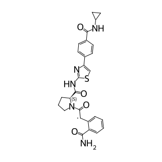 NC(=O)c1ccccc1[CH]C(=O)N1CCC[C@H]1C(=O)Nc1nc(-c2ccc(C(=O)NC3CC3)cc2)cs1